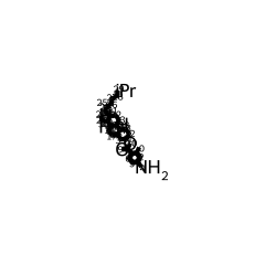 Cc1cc(N)ccc1C(=O)O[C@H]1CC[C@@]2(C)C(=CC[C@H]3[C@H]4CC[C@H]([C@H](C)CCCC(C)C)[C@@]4(C)CC[C@H]32)C1